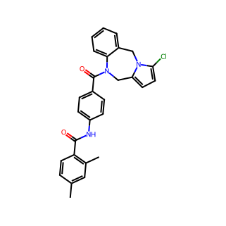 Cc1ccc(C(=O)Nc2ccc(C(=O)N3Cc4ccc(Cl)n4Cc4ccccc43)cc2)c(C)c1